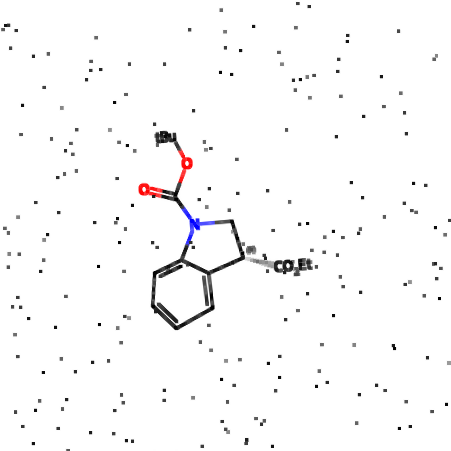 CCOC(=O)[C@H]1CN(C(=O)OC(C)(C)C)c2ccccc21